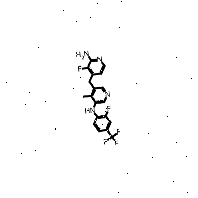 Cc1c(Cc2ccnc(N)c2F)cncc1Nc1ccc(C(F)(F)F)cc1F